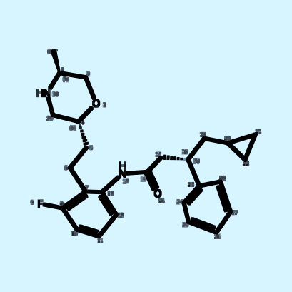 [CH2][C@H]1CO[C@H](CCc2c(F)cccc2NC(=O)C[C@H](CC2CC2)c2ccccc2)CN1